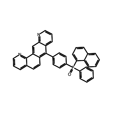 O=P(c1ccccc1)(c1ccc(-c2c3cccnc3cc3c2ccc2cccnc23)cc1)c1cccc2ccccc12